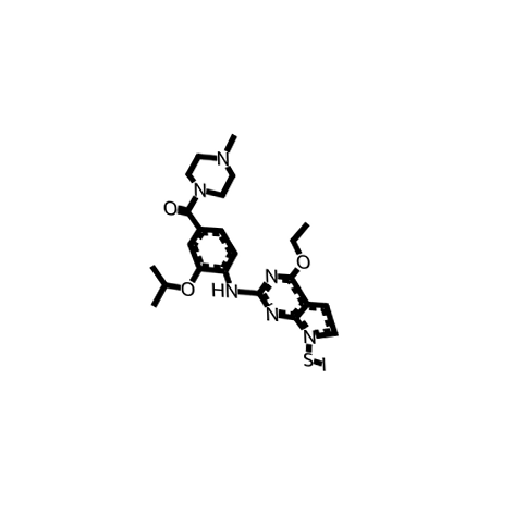 CCOc1nc(Nc2ccc(C(=O)N3CCN(C)CC3)cc2OC(C)C)nc2c1ccn2SI